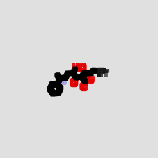 C/C(=C\CC(C)C(=O)C1=C(O)C(CC(C)C)OC1=O)c1ccccc1